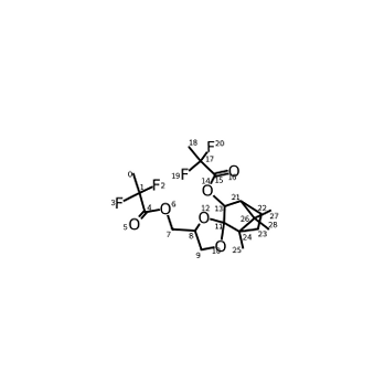 CC(F)(F)C(=O)OCC1COC2(O1)C(OC(=O)C(C)(F)F)C1CCC2(C)C1(C)C